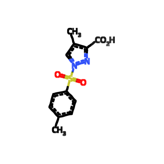 Cc1ccc(S(=O)(=O)n2cc(C)c(C(=O)O)n2)cc1